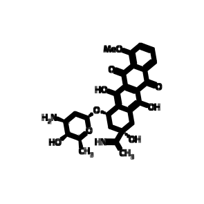 COc1cccc2c1C(=O)c1c(O)c3c(c(O)c1C2=O)C[C@@](O)(C(C)=N)C[C@@H]3O[C@H]1C[C@H](N)[C@H](O)[C@H](C)O1